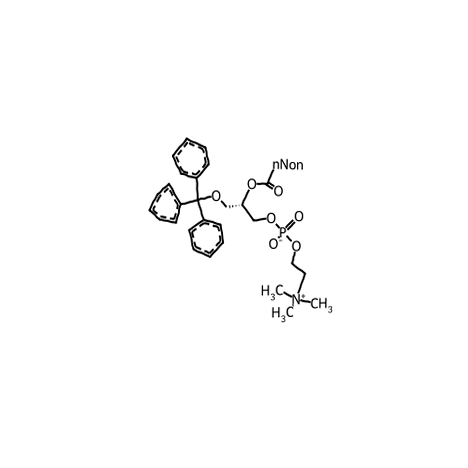 CCCCCCCCCC(=O)O[C@@H](COC(c1ccccc1)(c1ccccc1)c1ccccc1)COP(=O)([O-])OCC[N+](C)(C)C